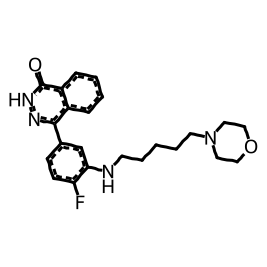 O=c1[nH]nc(-c2ccc(F)c(NCCCCCN3CCOCC3)c2)c2ccccc12